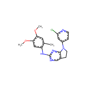 COc1cc(C)c(Nc2ncc3c(n2)N(c2ccnc(Cl)c2)CC3)cc1OC